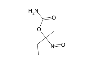 CCC(C)(N=O)OC(N)=O